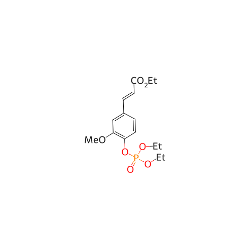 CCOC(=O)/C=C/c1ccc(OP(=O)(OCC)OCC)c(OC)c1